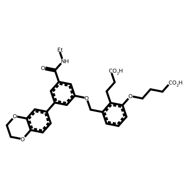 CCNC(=O)c1cc(OCc2cccc(OCCCC(=O)O)c2CCC(=O)O)cc(-c2ccc3c(c2)OCCO3)c1